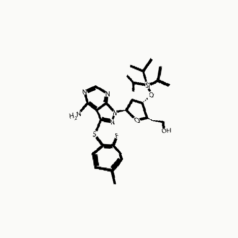 Cc1ccc(Sc2nn([C@H]3C[C@H](O[Si](C(C)C)(C(C)C)C(C)C)[C@@H](CO)O3)c3ncnc(N)c23)c(F)c1